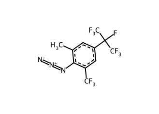 Cc1cc(C(F)(C(F)(F)F)C(F)(F)F)cc(C(F)(F)F)c1N=[N+]=[N-]